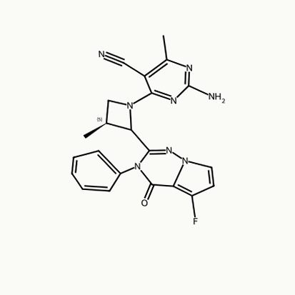 Cc1nc(N)nc(N2C[C@H](C)C2c2nn3ccc(F)c3c(=O)n2-c2ccccc2)c1C#N